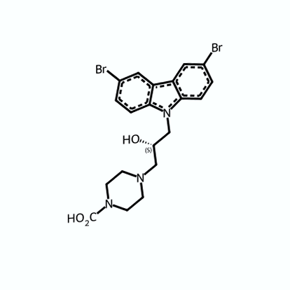 O=C(O)N1CCN(C[C@H](O)Cn2c3ccc(Br)cc3c3cc(Br)ccc32)CC1